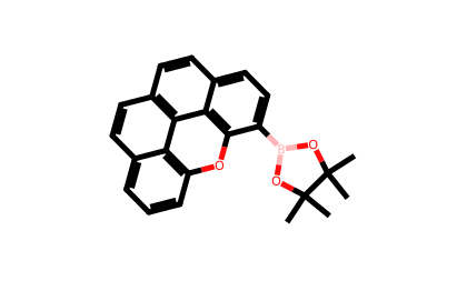 CC1(C)OB(c2ccc3ccc4ccc5cccc6c5c4c3c2O6)OC1(C)C